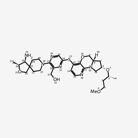 COCC[C@@H](C)O[C@H]1C[C@H]2COc3c(Sc4cnc(N5CCC6(CC5)CO[C@@H](I)[C@H]6N)c(CO)n4)ccnc3N2C1